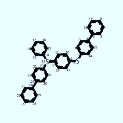 c1ccc(-c2ccc(Sc3ccc([S+](c4ccccc4)c4ccc(-c5ccccc5)cc4)cc3)cc2)cc1